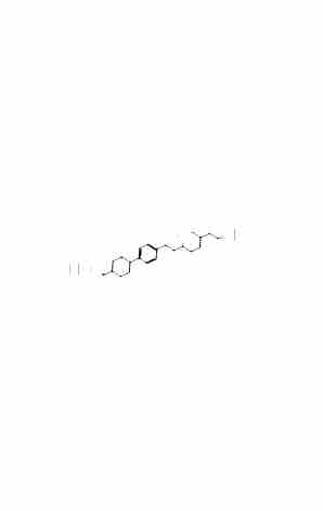 C=CC1CCC(c2ccc(CCC3CCC(CCC)CO3)cc2)CC1